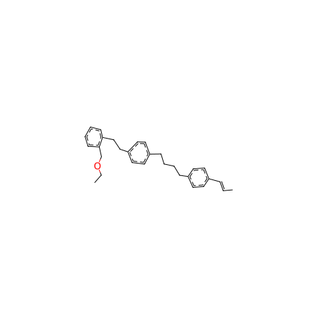 CC=Cc1ccc(CCCCc2ccc(CCc3ccccc3COCC)cc2)cc1